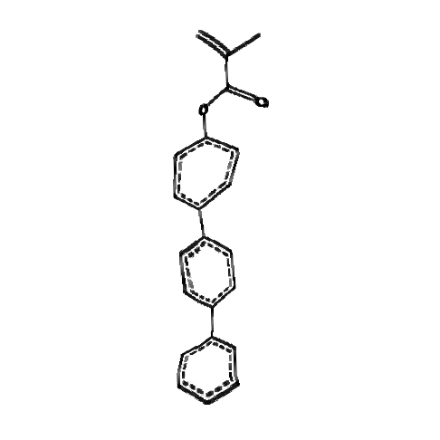 C=C(C)C(=O)Oc1ccc(-c2ccc(-c3ccccc3)cc2)cc1